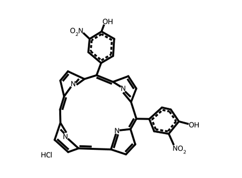 Cl.O=[N+]([O-])c1cc(C2=C3C=CC(=N3)C=C3C=CC(=N3)C=C3C=CC(=N3)C(c3ccc(O)c([N+](=O)[O-])c3)=C3C=CC2=N3)ccc1O